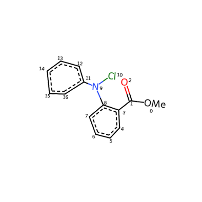 COC(=O)c1ccccc1N(Cl)c1ccccc1